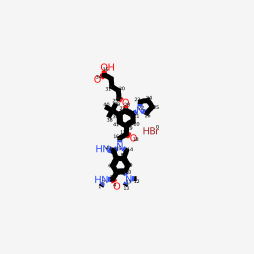 Br.CNC(=O)c1cc2c(cc1N(C)C)CN(CC(=O)c1cc(N3CCCC3)c(OCCCCC(=O)O)c(C(C)(C)C)c1)C2=N